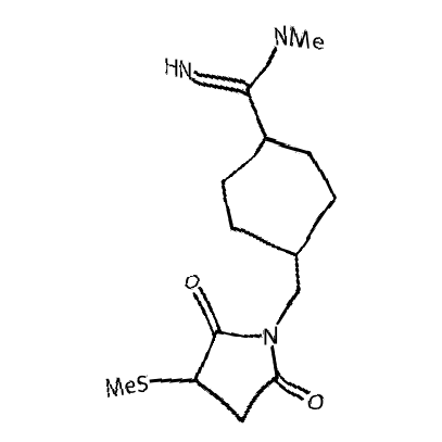 CNC(=N)C1CCC(CN2C(=O)CC(SC)C2=O)CC1